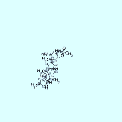 CCC[C@@H]1C[C@H](NS(C)(=O)=O)CC[C@]1(C)[C@H]1CC2=C(C)[C@]3(CC[C@H]2C1)O[C@@H]1C[C@H](C)CN[C@H]1[C@H]3C